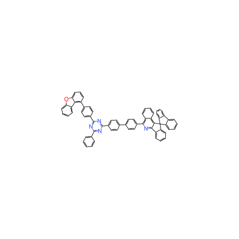 c1ccc(-c2nc(-c3ccc(-c4ccc(-c5nc6c(c7ccccc57)C5(c7ccccc7-c7ccccc75)c5ccccc5-6)cc4)cc3)nc(-c3ccc(-c4cccc5oc6ccccc6c45)cc3)n2)cc1